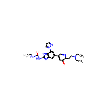 CCNC(=O)Nc1nc2cc(C3=CC(=O)C(CCN(CC)CC)N=C3)cc(-n3cccn3)c2[nH]1